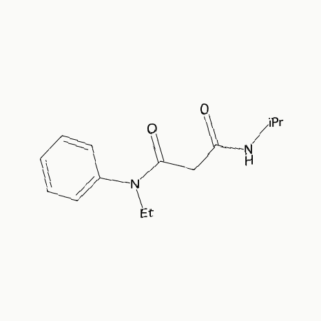 CCN(C(=O)CC(=O)NC(C)C)c1ccccc1